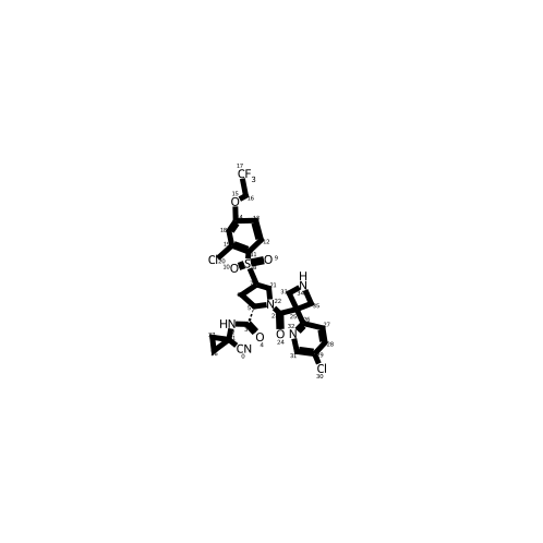 N#CC1(NC(=O)[C@@H]2CC(S(=O)(=O)c3ccc(OCC(F)(F)F)cc3Cl)CN2C(=O)C2(c3ccc(Cl)cn3)CNC2)CC1